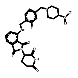 CC[S+]([O-])C1CCN(Cc2ccc(CNc3cccc4c3C(=O)N(C3CCC(=O)NC3=O)C4=O)c(F)c2)CC1